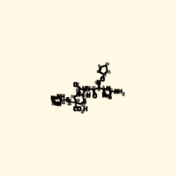 Nc1nc(C(=NOC2C=CCC2)C(=O)NC2C(=O)N3CC(CSc4nnn[nH]4)(C(=O)O)CS[C@H]23)ns1